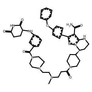 CN(CCC(=O)N1CCC([C@@H]2CCNc3c(C(N)=O)c(-c4ccc(Oc5ccccc5)cc4)nn32)CC1)CCN1CCN(C(=O)c2cccc(NC3CCC(=O)NC3=O)c2)CC1